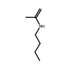 C=C(C)NCCCC